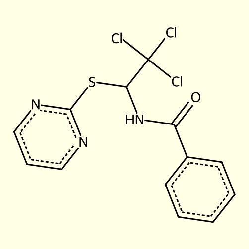 O=C(NC(Sc1ncccn1)C(Cl)(Cl)Cl)c1ccccc1